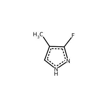 Cc1c[nH]nc1F